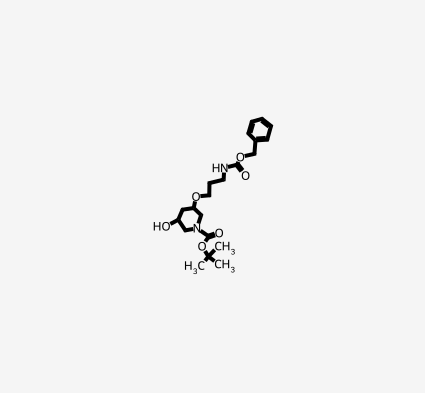 CC(C)(C)OC(=O)N1CC(O)CC(OCCCNC(=O)OCc2ccccc2)C1